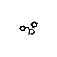 c1ccc(CC2CNCCN2c2ccccc2)cc1